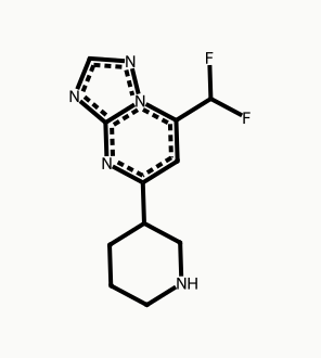 FC(F)c1cc(C2CCCNC2)nc2ncnn12